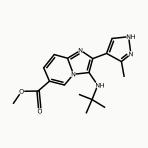 COC(=O)c1ccc2nc(-c3c[nH]nc3C)c(NC(C)(C)C)n2c1